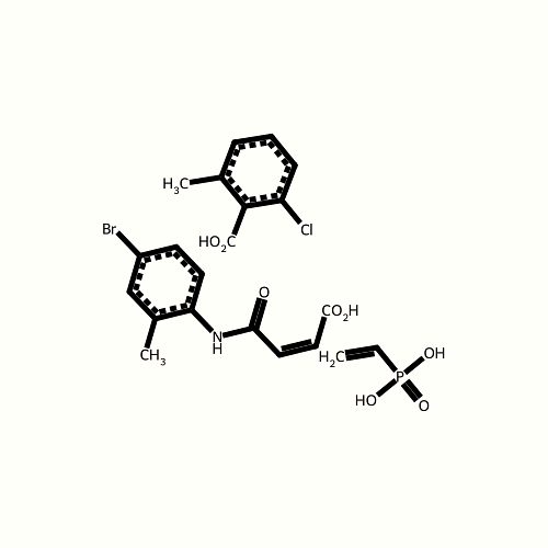 C=CP(=O)(O)O.Cc1cc(Br)ccc1NC(=O)/C=C\C(=O)O.Cc1cccc(Cl)c1C(=O)O